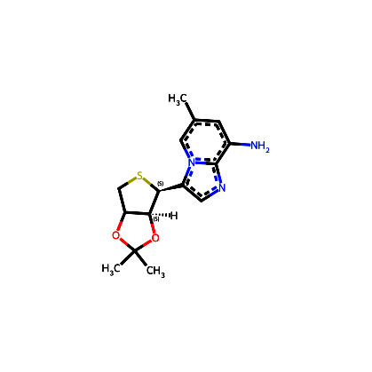 Cc1cc(N)c2ncc([C@@H]3SCC4OC(C)(C)O[C@@H]43)n2c1